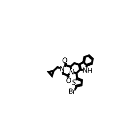 O=C1C2Cc3c([nH]c4ccccc34)C(c3ccc(Br)s3)N2C(=O)CN1CC1CC1